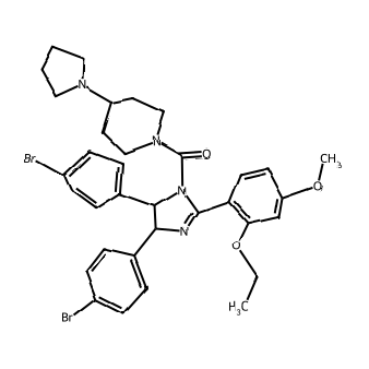 CCOc1cc(OC)ccc1C1=NC(c2ccc(Br)cc2)C(c2ccc(Br)cc2)N1C(=O)N1CCC(N2CCCC2)CC1